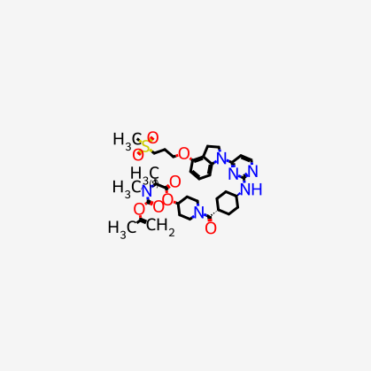 C=C(C)OC(=O)N(C)[C@@H](C)C(=O)OC1CCN(C(=O)[C@H]2CC[C@H](Nc3nccc(N4CCc5c(OCCCS(C)(=O)=O)cccc54)n3)CC2)CC1